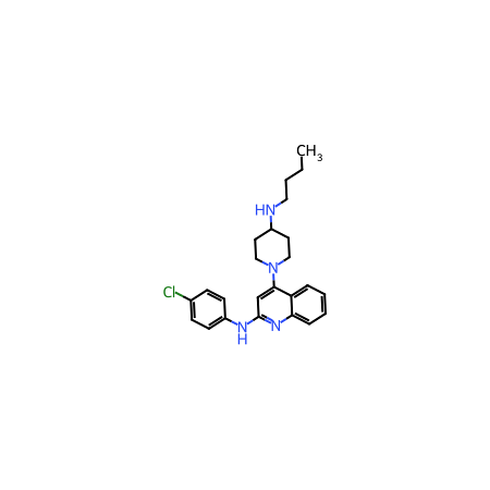 CCCCNC1CCN(c2cc(Nc3ccc(Cl)cc3)nc3ccccc23)CC1